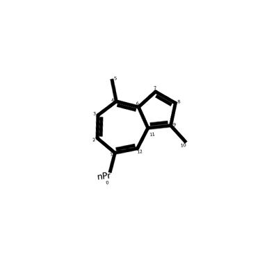 CCCc1ccc(C)c2ccc(C)c-2c1